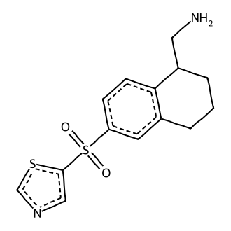 NCC1CCCc2cc(S(=O)(=O)c3cncs3)ccc21